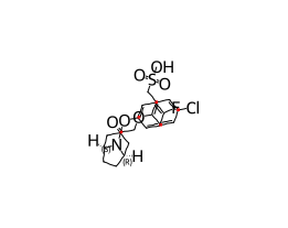 O=C(COc1ccc(Cl)cc1CS(=O)(=O)O)N1[C@@H]2CC[C@H]1CC(Oc1ccc(F)cc1)C2